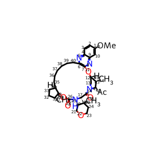 COc1ccc2nc3c(nc2c1)O[C@H]1CN(C(=O)[C@H](C2(C)CCOCC2)NC(=O)O[C@]2(C)CCC[C@H]2CCCCCC3)[C@H](C(C)=O)[C@@H]1C